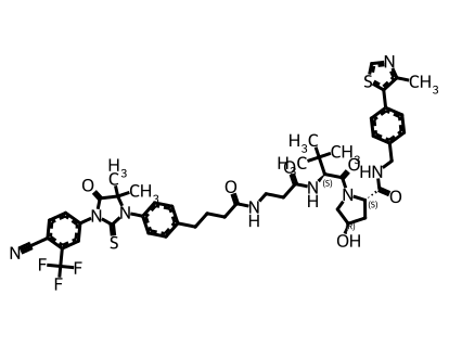 Cc1ncsc1-c1ccc(CNC(=O)[C@@H]2C[C@@H](O)CN2C(=O)[C@@H](NC(=O)CCNC(=O)CCCc2ccc(N3C(=S)N(c4ccc(C#N)c(C(F)(F)F)c4)C(=O)C3(C)C)cc2)C(C)(C)C)cc1